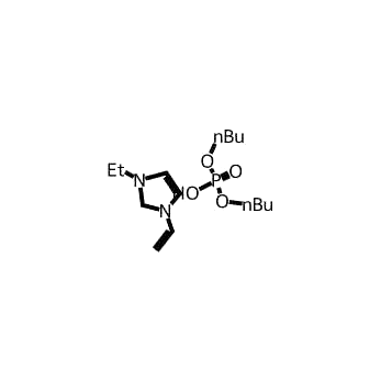 C=CN1C=CN(CC)C1.CCCCOP(=O)(O)OCCCC